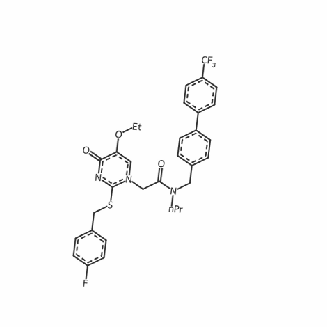 CCCN(Cc1ccc(-c2ccc(C(F)(F)F)cc2)cc1)C(=O)Cn1cc(OCC)c(=O)nc1SCc1ccc(F)cc1